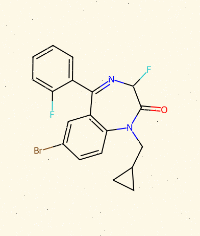 O=C1C(F)N=C(c2ccccc2F)c2cc(Br)ccc2N1CC1CC1